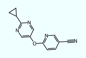 N#Cc1ccc(Oc2cnc(C3CC3)nc2)nc1